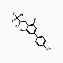 CCCc1ccc(-c2cc(F)c(CC(Br)C(F)(F)Br)c(F)c2)cc1